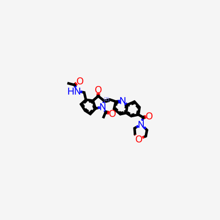 CC(=O)NCc1cccc2c1C(=O)/C(=C/c1ccc3cc(C(=O)N4CCOCC4)ccc3n1)N2C(C)=O